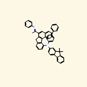 C/C(=N\c1ccccc1)c1cc2ccccc2c2c1Cc1cccc(N(c3ccc(-c4ccccc4)cc3)c3ccc4c(c3)C(C)(C)c3ccccc3-4)c1-2